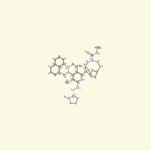 CN1CCC[C@H]1COc1nc(C2[C@H]3CN(C(=O)OC(C)(C)C)CCC4CC2(C4)C3)c2c(c1C#N)CN(c1cccc3cccc(Br)c13)CC2